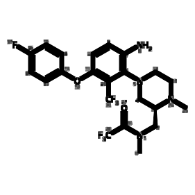 CN(C[C@H]1CN(c2c(N)ccc(Oc3ccc(F)cc3)c2C(F)(F)F)CCN1C)C(=O)C(F)(F)F